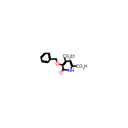 CCOC(=O)c1cc(C(=O)O)[nH]c(=O)c1OCc1ccccc1